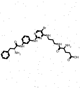 NC(CCC(=O)O)C(=O)NCCCNc1nc(Nc2cccc(NC(=O)[C@H](N)Cc3ccccc3)c2)ncc1Br